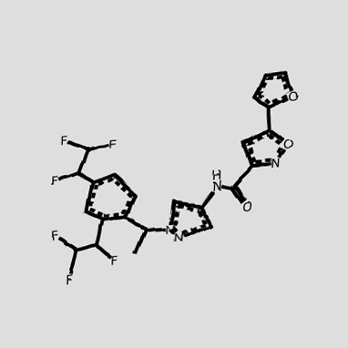 CC(c1ccc(C(F)C(F)F)cc1C(F)C(F)F)n1cc(NC(=O)c2cc(-c3ccco3)on2)cn1